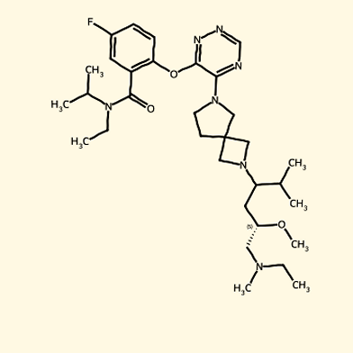 CCN(C)C[C@H](CC(C(C)C)N1CC2(CCN(c3ncnnc3Oc3ccc(F)cc3C(=O)N(CC)C(C)C)C2)C1)OC